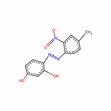 Cc1ccc(N=Nc2ccc(O)cc2O)c([N+](=O)[O-])c1